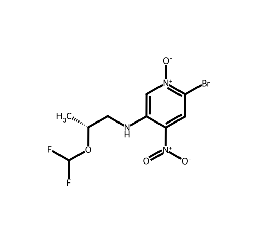 C[C@H](CNc1c[n+]([O-])c(Br)cc1[N+](=O)[O-])OC(F)F